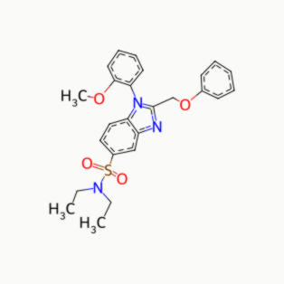 CCN(CC)S(=O)(=O)c1ccc2c(c1)nc(COc1ccccc1)n2-c1ccccc1OC